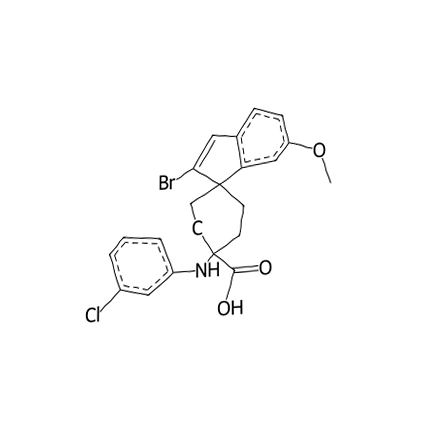 COc1ccc2c(c1)C1(CCC(Nc3cccc(Cl)c3)(C(=O)O)CC1)C(Br)=C2